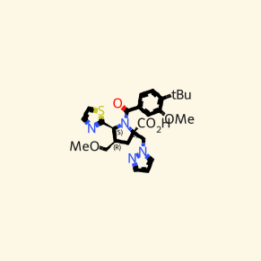 COC[C@@H]1C[C@](Cn2cccn2)(C(=O)O)N(C(=O)c2ccc(C(C)(C)C)c(OC)c2)[C@@H]1c1nccs1